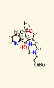 CC(C)COCCN1CCN(C2(C(O)c3ccccn3)CCOC(C)(C)C2)CC1